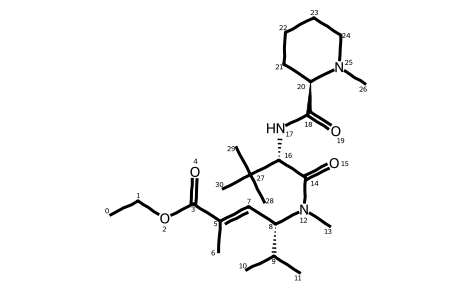 CCOC(=O)/C(C)=C/[C@@H](C(C)C)N(C)C(=O)[C@@H](NC(=O)[C@H]1CCCCN1C)C(C)(C)C